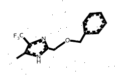 Cc1[nH]c(COCc2ccccc2)nc1C(F)(F)F